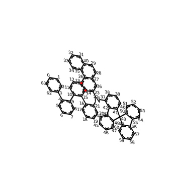 c1ccc(-c2ccccc2-c2ccccc2-c2ccccc2N(c2ccc3c(ccc4ccccc43)c2)c2cccc3c2-c2ccccc2C32c3ccccc3-c3ccccc32)cc1